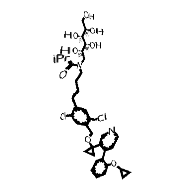 CC(C)C(=O)N(CCCCc1cc(Cl)c(COC2(c3cnccc3-c3ccccc3OC3CC3)CC2)cc1Cl)C[C@H](O)[C@@H](O)[C@H](O)[C@H](O)CO